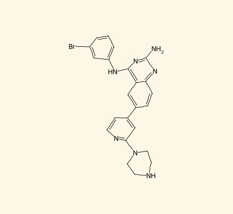 Nc1nc(Nc2cccc(Br)c2)c2cc(-c3ccnc(N4CCNCC4)c3)ccc2n1